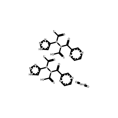 O=C(c1cnccn1)N(C(=S)S)N(C(=S)[S-])c1c[nH]nn1.O=C(c1cnccn1)N(C(=S)S)N(C(=S)[S-])c1c[nH]nn1.[O]=[Mo+2]=[O]